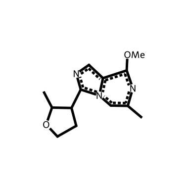 COc1nc(C)cn2c(C3CCOC3C)ncc12